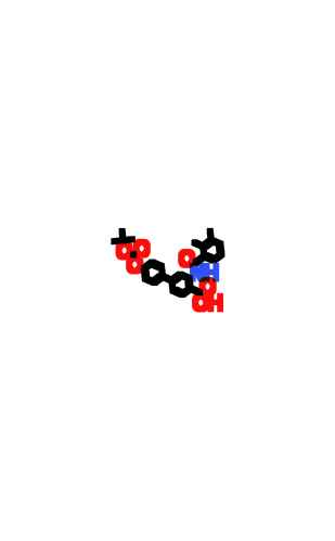 Cc1cccc(C(=O)Nc2cc(-c3ccc(OC(=O)OC(C)(C)C)cc3)ccc2C(=O)O)c1C